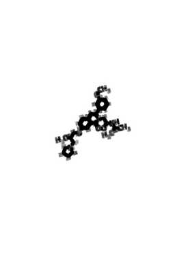 COc1cccc(-c2cc3ccc(OCC(C)CN4CCCC4)cc3c(=O)n2CC(=O)NC(C)C)c1